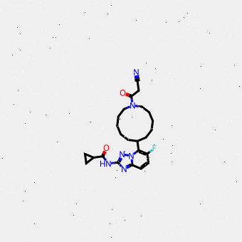 N#CCC(=O)N1CCCCCC(c2c(F)ccc3nc(NC(=O)C4CC4)nn23)CCCCC1